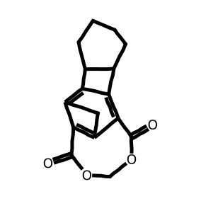 O=C1OCOC(=O)c2c3c1c(c1c2C2CCCCC12)C3